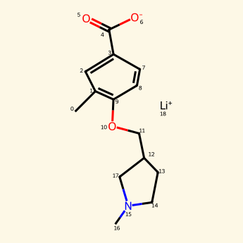 Cc1cc(C(=O)[O-])ccc1OCC1CCN(C)C1.[Li+]